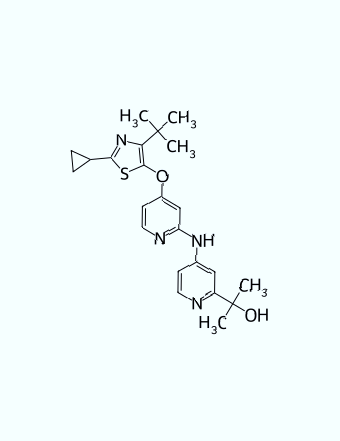 CC(C)(C)c1nc(C2CC2)sc1Oc1ccnc(Nc2ccnc(C(C)(C)O)c2)c1